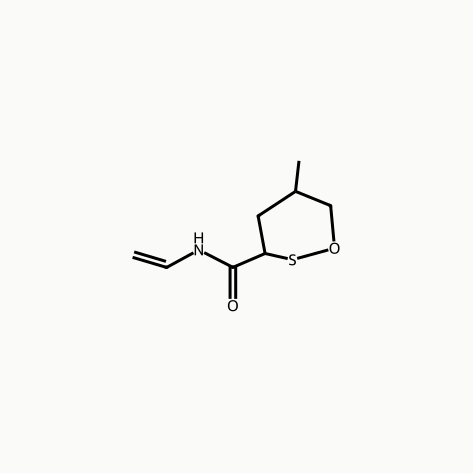 C=CNC(=O)C1CC(C)COS1